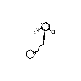 Nc1nccc(Cl)c1C#CCCCN1CCCCC1